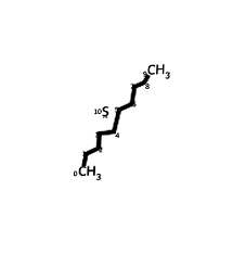 CCCCCCCCCC.[S]